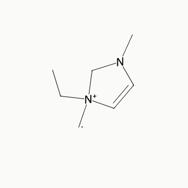 [CH2][N+]1(CC)C=CN(C)C1